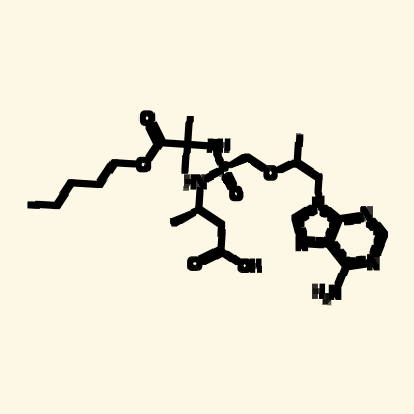 CCCCCOC(=O)C(C)(C)N[P@@](=O)(COC(C)Cn1cnc2c(N)ncnc21)N[C@H](C)CC(=O)O